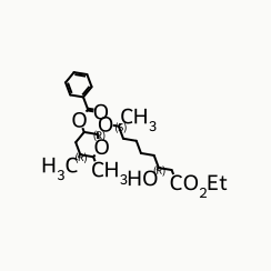 CCOC(=O)C[C@H](O)CCCC[C@H](C)O[C@@H]1OC(C)[C@H](C)CC1OC(=O)c1ccccc1